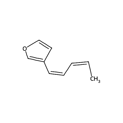 C/C=C\C=C/c1ccoc1